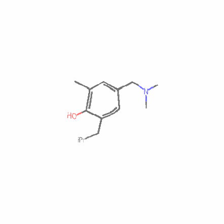 Cc1cc(CN(C)C)cc(CC(C)C)c1O